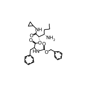 CCC[C@H](N)[C@H](OC(=O)C(Cc1ccccc1)NC(=O)OCc1ccccc1)C(=O)NC1CC1